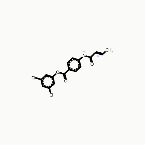 C/C=C/C(=O)Nc1ccc(C(=O)Oc2cc(Cl)cc(Cl)c2)cc1